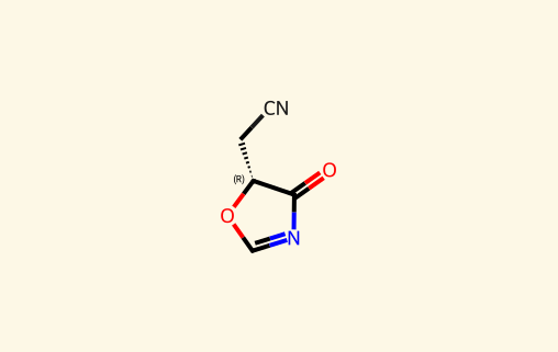 N#CC[C@H]1OC=NC1=O